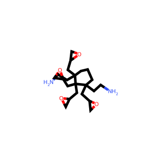 NCCC1(CC2CO2)CCCC(CCN)(CC2CO2)C1(CC1CO1)CC1CO1